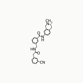 CN1CCc2ccc(NC(=O)c3cccc(CNC(=O)Cc4cccc(C#N)c4)c3)cc2C1